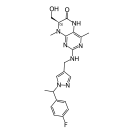 Cc1nc(NCc2cnn(C(C)c3ccc(F)cc3)c2)nc2c1NC(=O)[C@H](CO)N2C